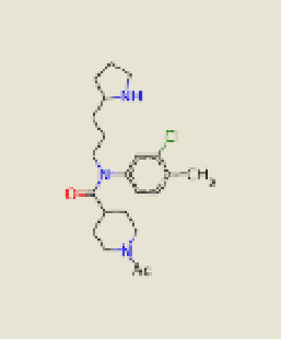 CC(=O)N1CCC(C(=O)N(CCCC2CCCN2)c2ccc(C)c(Cl)c2)CC1